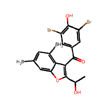 Bc1cc(B)c2c(C(=O)c3cc(Br)c(O)c(Br)c3)c(C(C)O)oc2c1